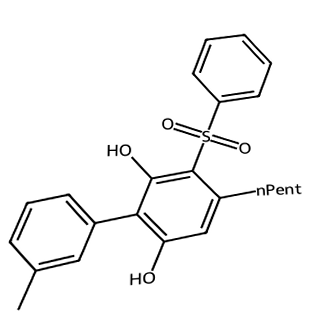 CCCCCc1cc(O)c(-c2cccc(C)c2)c(O)c1S(=O)(=O)c1ccccc1